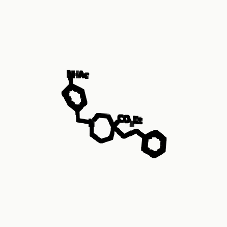 CCOC(=O)C1(CCc2ccccc2)CCCN(Cc2ccc(NC(C)=O)cc2)CC1